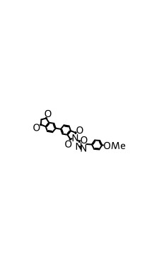 COc1ccc(-c2nnc(N3C(=O)c4ccc(-c5ccc6c(c5)C(=O)CC6=O)cc4C3=O)o2)cc1